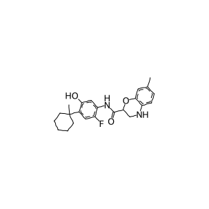 Cc1ccc2c(c1)OC(C(=O)Nc1cc(O)c(C3(C)CCCCC3)cc1F)CN2